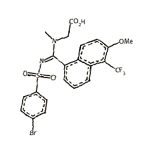 COc1ccc2c(/C(=N\S(=O)(=O)c3ccc(Br)cc3)N(C)CC(=O)O)cccc2c1C(F)(F)F